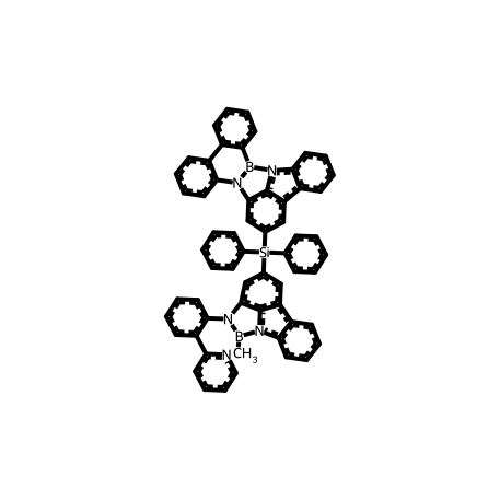 CB1N(c2ccccc2-c2ccccn2)c2cc([Si](c3ccccc3)(c3ccccc3)c3cc4c5c(c3)c3ccccc3n5B3c5ccccc5-c5ccccc5N34)cc3c4ccccc4n1c23